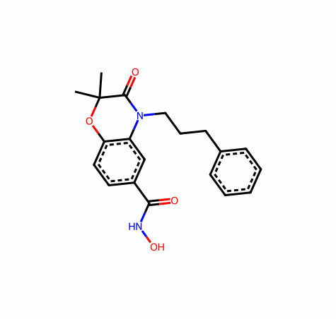 CC1(C)Oc2ccc(C(=O)NO)cc2N(CCCc2ccccc2)C1=O